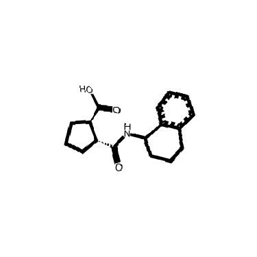 O=C(O)[C@@H]1CCC[C@H]1C(=O)NC1CCCc2ccccc21